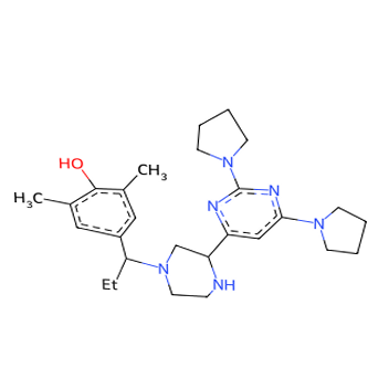 CCC(c1cc(C)c(O)c(C)c1)N1CCNC(c2cc(N3CCCC3)nc(N3CCCC3)n2)C1